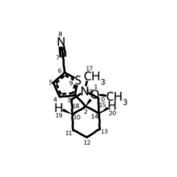 CO[C@]1(c2ccc(C#N)s2)[C@@H]2CCC[C@H]1CN(C)C2